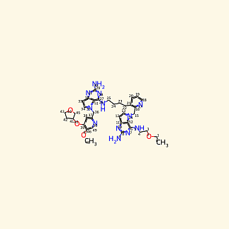 CCOCCNc1nc(N)nc2ccn(Cc3ncccc3CCCCNc3nc(N)nc4ccn(Cc5cc(OC6CCOC6)c(OC)cn5)c34)c12